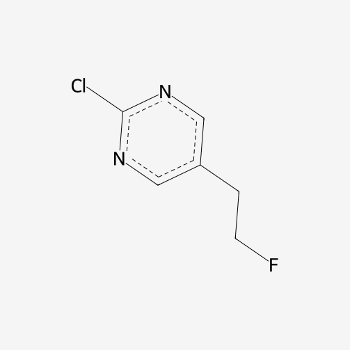 FCCc1cnc(Cl)nc1